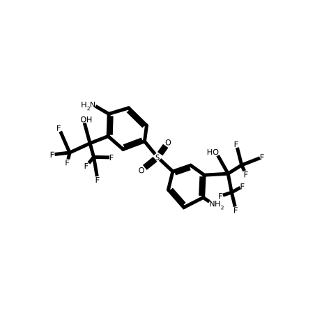 Nc1ccc(S(=O)(=O)c2ccc(N)c(C(O)(C(F)(F)F)C(F)(F)F)c2)cc1C(O)(C(F)(F)F)C(F)(F)F